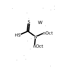 CCCCCCCCN(CCCCCCCC)C(=S)S.[W]